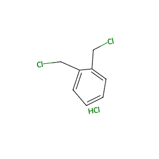 Cl.ClCc1ccccc1CCl